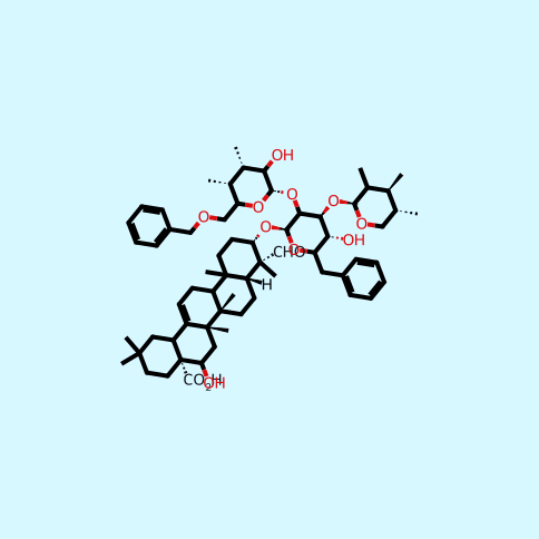 CC1[C@H](O[C@@H]2C(O[C@@H]3OC(COCc4ccccc4)[C@H](C)[C@H](C)C3O)[C@H](O[C@H]3CCC4(C)C5CC=C6C7CC(C)(C)CC[C@]7(C(=O)O)C(O)C[C@@]6(C)[C@@]5(C)CC[C@H]4[C@@]3(C)C=O)OC(Cc3ccccc3)[C@H]2O)OC[C@@H](C)[C@@H]1C